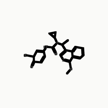 COc1ncc(C(C)N(C(=O)NC2=CC(Cl)C(=O)C=C2)C2CC2)c2ccccc12